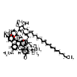 CCCCCCCCCCCCCCCCCN(C[C@H]1O[C@@H](n2ccc(=O)[nH]c2=O)[C@H](OC)[C@@H]1O)C(=O)C[C@H]1[C@@H](O[Si](C)(C)C(C)(C)C)[C@H](n2ccc(=O)[nH]c2=O)O[C@@H]1COC(c1ccccc1)(c1ccc(OC)cc1)c1ccc(OC)cc1